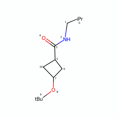 CC(C)CNC(=O)C1CC(OC(C)(C)C)C1